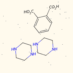 C1CNCCN1.C1CNCCN1.O=C(O)c1ccccc1C(=O)O